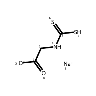 O=C([O-])CNC(=S)S.[Na+]